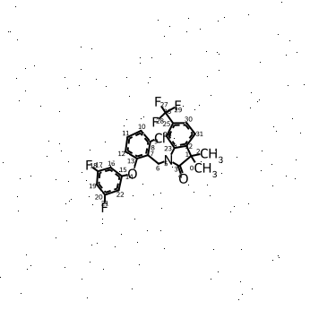 CC1(C)C(=O)N(Cc2c(Cl)cccc2Oc2cc(F)cc(F)c2)c2cc(C(F)(F)F)ccc21